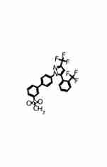 CS(=O)(=O)c1cccc(-c2ccc(-n3nc(C(F)(F)F)cc3-c3ccccc3C(F)(F)F)cc2)c1